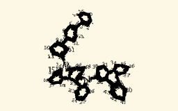 c1ccc(-c2ccc(-c3cccc(-n4c5ccccc5c5c6c7ccccc7n(-c7ccc8c9ccccc9c9ccccc9c8c7)c6ccc54)c3)cc2)cc1